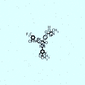 CCc1c(N2CCN(C(=O)c3ncnc(C)c3O)CC2)c(=O)n2nc(-c3cc(F)c4c(c3)COC4(C)C)nc2n1CC(=O)Nc1ccc(C(F)(F)F)cc1Cl